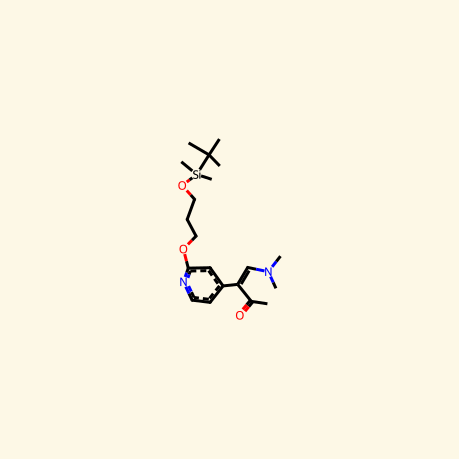 CC(=O)/C(=C\N(C)C)c1ccnc(OCCCO[Si](C)(C)C(C)(C)C)c1